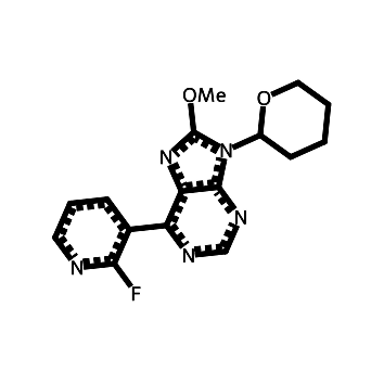 COc1nc2c(-c3cccnc3F)ncnc2n1C1CCCCO1